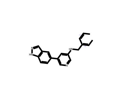 C/C=C\C(=C/C)CNc1cncc(-c2ccc3[nH]ncc3c2)c1